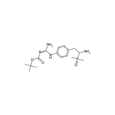 CC(C)(C)OC(=O)/N=C(/N)Nc1ccc(CC(N)P(C)(C)=O)cc1